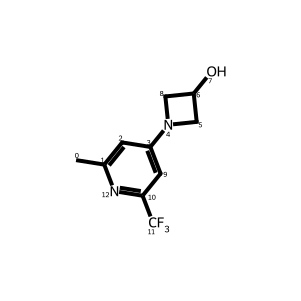 Cc1cc(N2CC(O)C2)cc(C(F)(F)F)n1